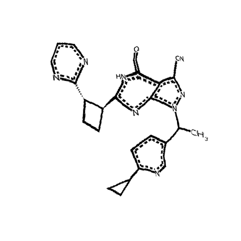 CC(c1ccc(C2CC2)nc1)n1nc(C#N)c2c(=O)[nH]c([C@H]3CC[C@@H]3c3ncccn3)nc21